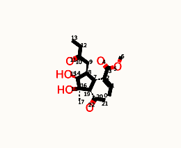 C/C=C(/C(=O)OC)[C@H]1[C@H](CC(=O)CC)[C@H](O)[C@](C)(O)[C@H]1C(C)=O